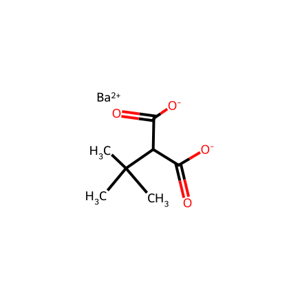 CC(C)(C)C(C(=O)[O-])C(=O)[O-].[Ba+2]